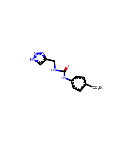 CCOC(=O)c1ccc(NC(=O)NCc2c[nH]nn2)cc1